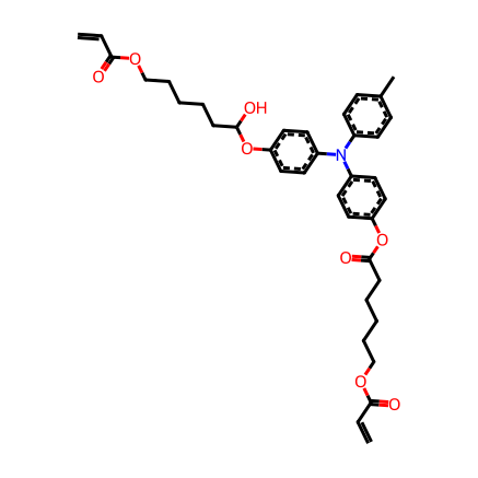 C=CC(=O)OCCCCCC(=O)Oc1ccc(N(c2ccc(C)cc2)c2ccc(OC(O)CCCCCOC(=O)C=C)cc2)cc1